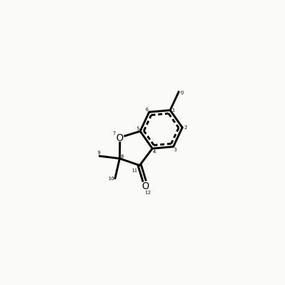 Cc1ccc2c(c1)OC(C)(C)C2=O